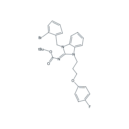 CC(C)(C)OC(=O)N=c1n(CCCOc2ccc(F)cc2)c2ccccc2n1Cc1ccccc1Br